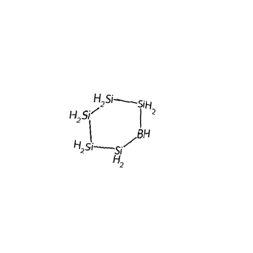 B1[SiH2][SiH2][SiH2][SiH2][SiH2]1